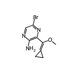 COC(=C1CC1)c1nc(Br)cnc1N